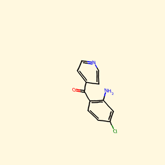 Nc1cc(Cl)ccc1C(=O)c1ccncc1